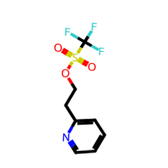 O=S(=O)(OCCc1ccccn1)C(F)(F)F